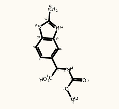 CC(C)(C)OC(=O)NC(C(=O)O)c1ccc2sc(N)nc2c1